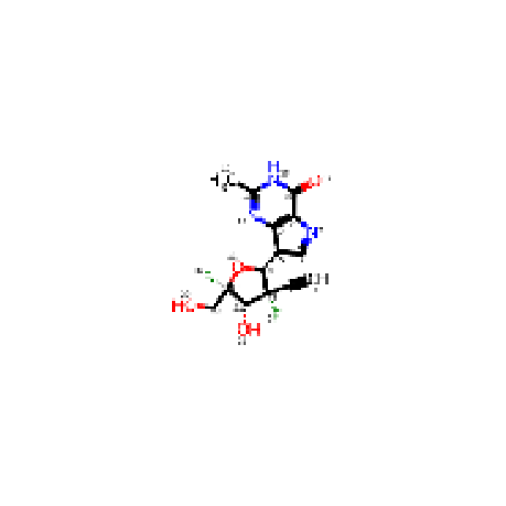 C#C[C@]1(F)[C@H](C2C=Nc3c2nc(C)[nH]c3=O)O[C@](F)(CO)[C@H]1O